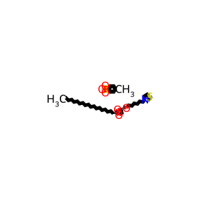 CCCCCCCCCCCCCCCCCCC[C@@H]1OC[C@@H](COCCCCCC[n+]2ccsc2)O1.Cc1ccc(S(=O)(=O)[O-])cc1